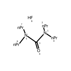 CCCN(CCC)C(=O)N(CCC)CCC.F